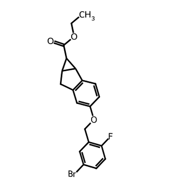 CCOC(=O)C1C2Cc3cc(OCc4cc(Br)ccc4F)ccc3C21